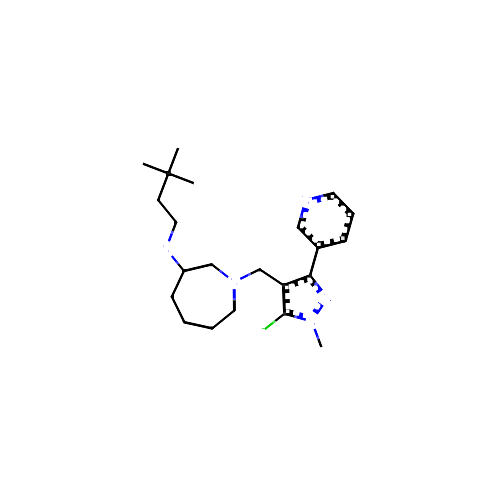 Cn1nc(-c2cccnc2)c(CN2CCCCC(NCCC(C)(C)C)C2)c1Cl